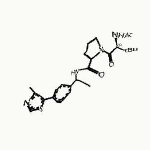 CC(=O)N[C@H](C(=O)N1CCCC1C(=O)NC(C)c1ccc(-c2scnc2C)cc1)C(C)(C)C